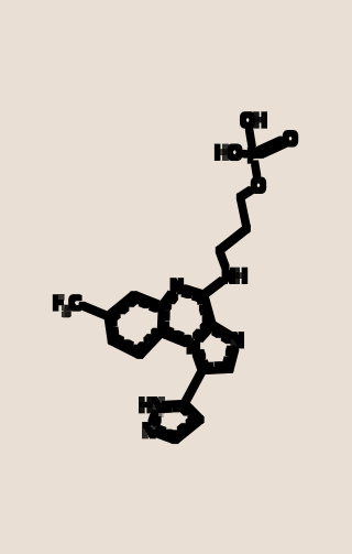 O=P(O)(O)OCCCNc1nc2cc(C(F)(F)F)ccc2n2c(-c3ccn[nH]3)cnc12